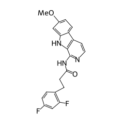 COc1ccc2c(c1)[nH]c1c(NC(=O)CCc3ccc(F)cc3F)nccc12